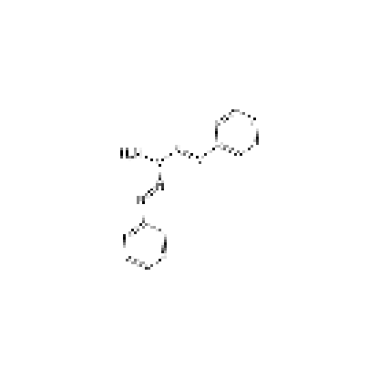 NN(N=Nc1ccccc1)N=Nc1ccccc1